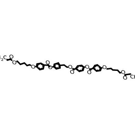 C=CC(=O)OCCCCCOc1ccc(C(=O)Oc2ccc(CCOC(=O)c3ccc(OC(=O)c4ccc(OCCCCCOC(=O)C=C)cc4)cc3)cc2)cc1